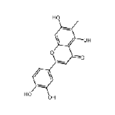 Cc1c(O)cc2oc(-c3ccc(O)c(O)c3)cc(=O)c2c1O